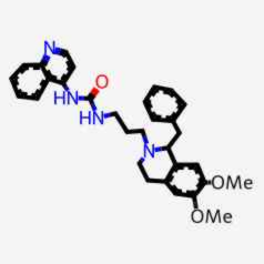 COc1cc2c(cc1OC)C(Cc1ccccc1)N(CCCNC(=O)Nc1ccnc3ccccc13)CC2